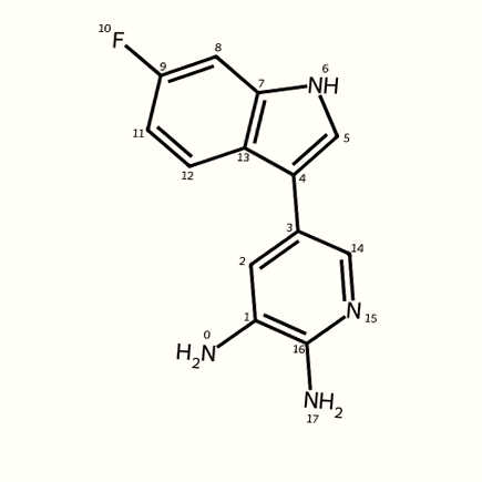 Nc1cc(-c2c[nH]c3cc(F)ccc23)cnc1N